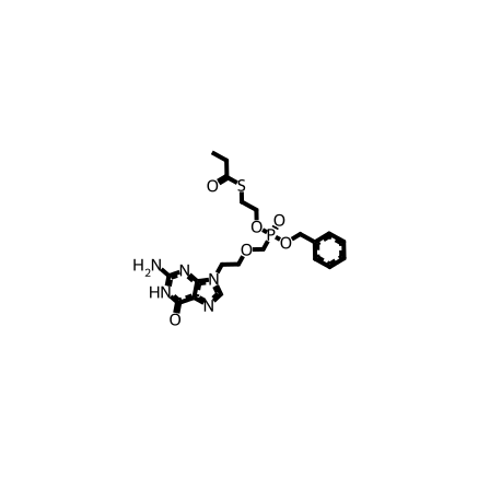 CCC(=O)SCCOP(=O)(COCCn1cnc2c(=O)[nH]c(N)nc21)OCc1ccccc1